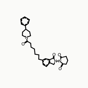 O=C(CCCCCCc1ccc2c(c1)C(=O)N(N1C(=O)CCCC1=O)C2)N1CCC(c2ccccc2)CC1